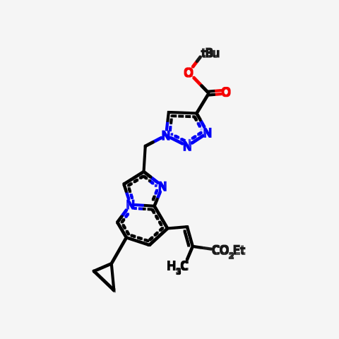 CCOC(=O)C(C)=Cc1cc(C2CC2)cn2cc(Cn3cc(C(=O)OC(C)(C)C)nn3)nc12